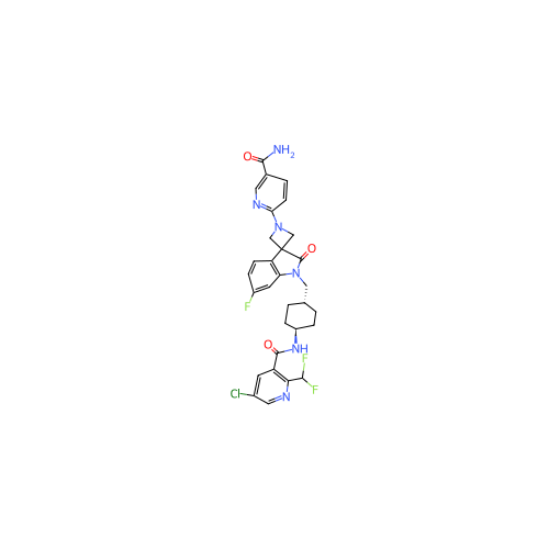 NC(=O)c1ccc(N2CC3(C2)C(=O)N(C[C@H]2CC[C@H](NC(=O)c4cc(Cl)cnc4C(F)F)CC2)c2cc(F)ccc23)nc1